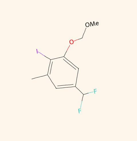 COCOc1cc(C(F)F)cc(C)c1I